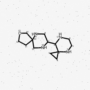 C1CNC2(CC2)C(C2CNC3(CCOC3)CN2)N1